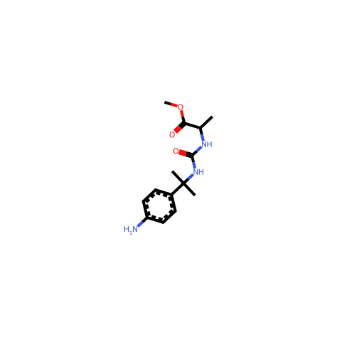 COC(=O)C(C)NC(=O)NC(C)(C)c1ccc(N)cc1